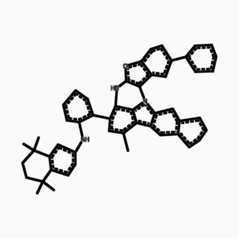 Cc1cc(-c2ccccc2Nc2ccc3c(c2)C(C)(C)CCC3(C)C)c2c3c1c1cc4ccccc4cc1n3-c1c(oc3ccc(-c4ccccc4)cc13)B2